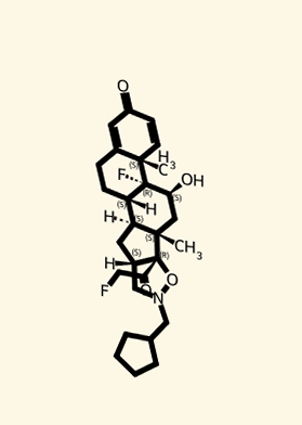 C[C@]12C=CC(=O)C=C1CC[C@H]1[C@@H]3C[C@H]4CN(CC5CCCC5)O[C@@]4(C(=O)CF)[C@@]3(C)C[C@H](O)[C@@]12F